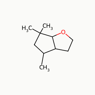 CC1CC(C)(C)C2OCCC12